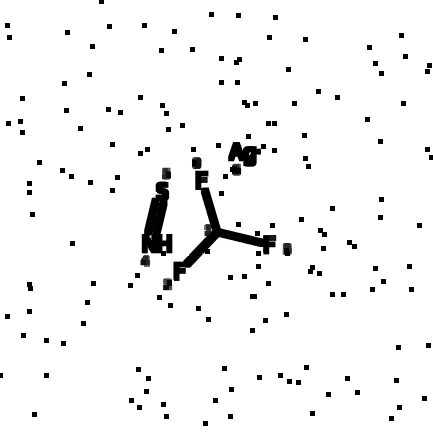 FC(F)F.N=S.[Ag]